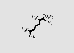 CCOC(=O)/C(C)=C(\C)CCC=C(C)C